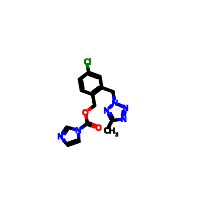 Cc1nnn(Cc2cc(Cl)ccc2COC(=O)n2ccnc2)n1